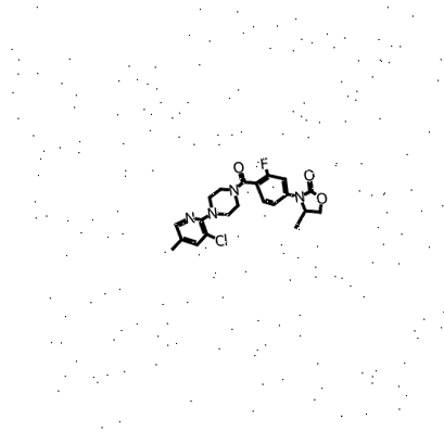 Cc1cnc(N2CCN(C(=O)c3ccc(N4C(=O)OCC4C)cc3F)CC2)c(Cl)c1